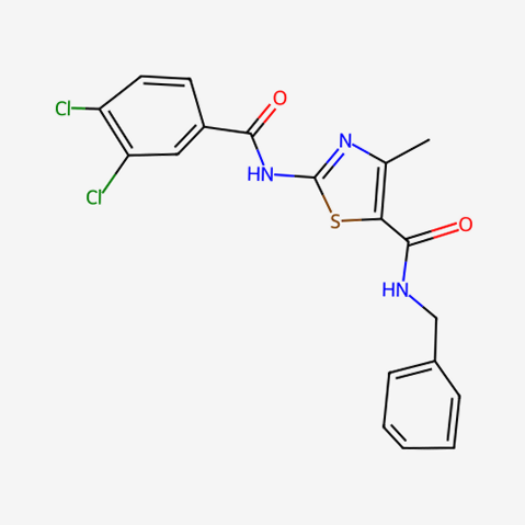 Cc1nc(NC(=O)c2ccc(Cl)c(Cl)c2)sc1C(=O)NCc1ccccc1